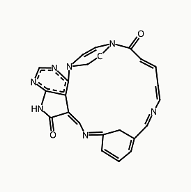 O=C1Nc2ncnc3c2/C1=C/N=C1\C=CC=C(/C=N/C=C\C=C\C(=O)N2C=CN3CC2)C1